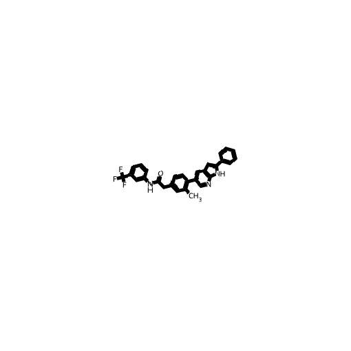 Cc1cc(CC(=O)Nc2cccc(C(F)(F)F)c2)ccc1-c1cnc2[nH]c(-c3ccccc3)cc2c1